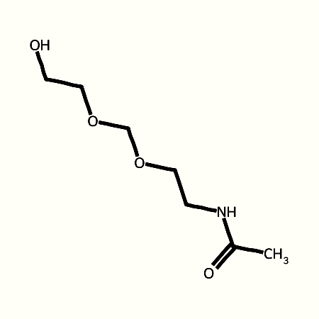 CC(=O)NCCOCOCCO